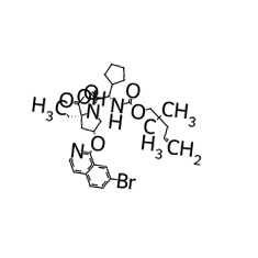 C=CCC(C)(C)COC(=O)N[C@H](C(=O)N1C[C@H](Oc2nccc3ccc(Br)cc23)C[C@@]1(CC)C(=O)O)C1CCCC1